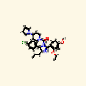 CCCC1N=C(c2ccc(OC)cc2OCC)N(C(=O)N2CCC(N3CCCC3)CC2)C1c1ccc(Cl)cc1